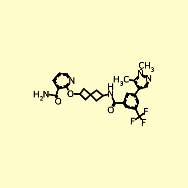 Cc1c(-c2cc(C(=O)NC3CC4(C3)CC(Oc3ncccc3C(N)=O)C4)cc(C(F)(F)F)c2)cnn1C